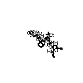 C#CCCC(NC(=O)[C@@H]1C[C@@H](C(C)(C)CC)CN1C(=O)[C@@H](NC(=O)N[C@H](CN(C)S(C)(=O)=O)C(C)(C)C)C1(C)CCCCC1)C(=O)C(=O)NCC=C